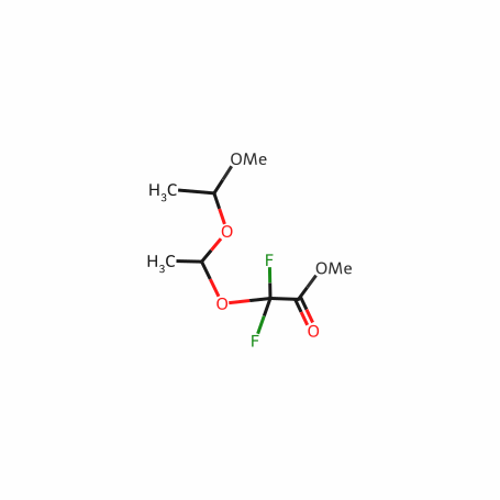 COC(=O)C(F)(F)OC(C)OC(C)OC